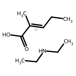 CC/C=C(\C)C(=O)O.CCNCC